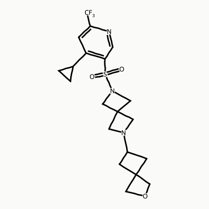 O=S(=O)(c1cnc(C(F)(F)F)cc1C1CC1)N1CC2(CN(C3CC4(COC4)C3)C2)C1